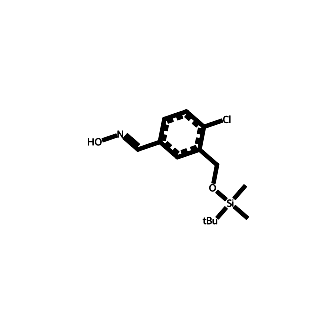 CC(C)(C)[Si](C)(C)OCc1cc(C=NO)ccc1Cl